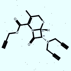 C#CCOC(=O)C1=C(C)CS[C@@H]2[C@H](N(CC#C)CC#C)C(=O)N12